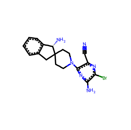 N#Cc1nc(Br)c(N)nc1N1CCC2(CC1)Cc1ccccc1[C@@H]2N